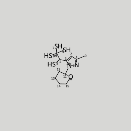 Cc1cc(C(S)C(S)(S)S)n(C2CCCCO2)n1